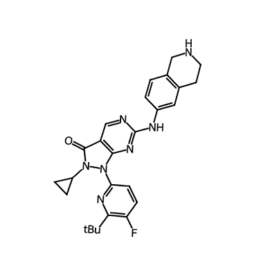 CC(C)(C)c1nc(-n2c3nc(Nc4ccc5c(c4)CCNC5)ncc3c(=O)n2C2CC2)ccc1F